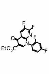 CCOC(=O)c1cn(-c2ccc(F)cc2F)c2nc(F)c(F)cc2c1=O